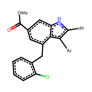 CCCc1[nH]c2cc(C(=O)OC)cc(Cc3ccccc3Cl)c2c1C(C)=O